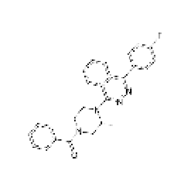 C[C@@H]1CN(C(=O)c2ccccc2)CCN1c1nnc(-c2ccc(F)cc2)c2ccccc12